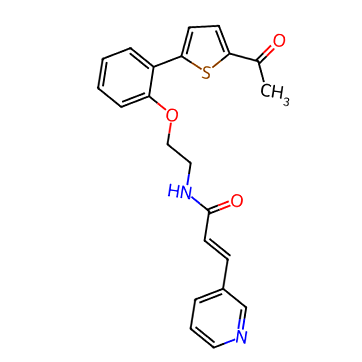 CC(=O)c1ccc(-c2ccccc2OCCNC(=O)C=Cc2cccnc2)s1